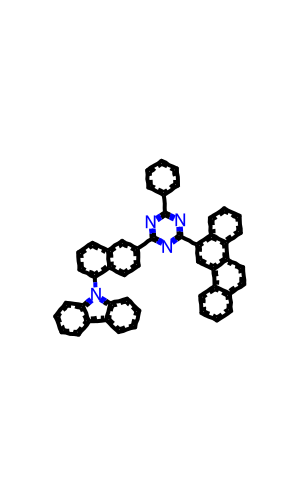 c1ccc(-c2nc(-c3ccc4c(-n5c6ccccc6c6ccccc65)cccc4c3)nc(-c3cc4c5ccccc5ccc4c4ccccc34)n2)cc1